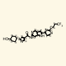 O=C(Nc1cc2[nH]c(-c3ccnc(OCCC(F)(F)F)n3)cc2cn1)c1cnn([C@H]2CC[C@H](O)CC2)c1